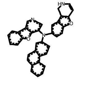 C1=Cc2oc3ccc(N(c4ccc5c(ccc6ccccc65)c4)c4cncc5c4oc4ccccc45)cc3c2CN1